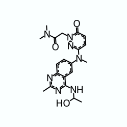 Cc1nc(NC(C)O)c2cc(N(C)c3ccc(=O)n(CC(=O)N(C)C)n3)ccc2n1